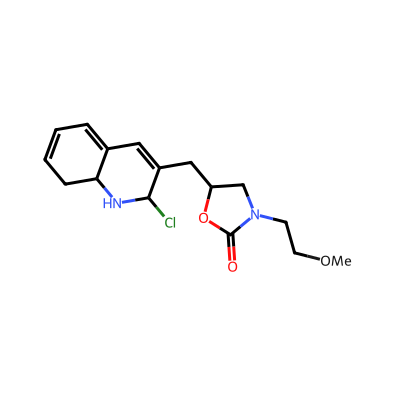 COCCN1CC(CC2=CC3=CC=CCC3NC2Cl)OC1=O